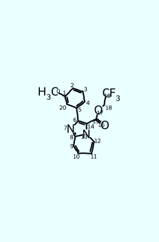 Cc1cccc(-c2nc3ccccn3c2C(=O)OCC(F)(F)F)c1